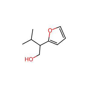 CC(C)C(CO)c1ccco1